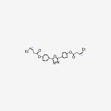 CC/C=C\CC(=O)Oc1ccc(-c2nnc(-c3ccc(OC(=O)C/C=C\CC)cc3)o2)cc1